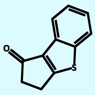 O=C1CCc2sc3ccccc3c21